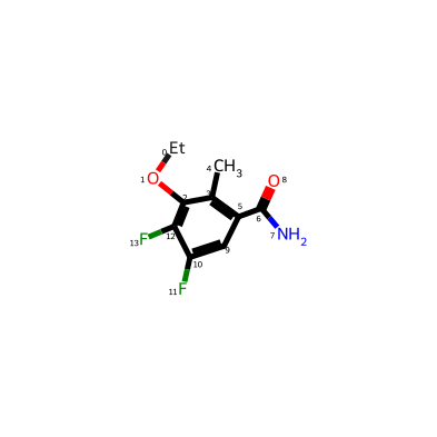 CCOc1c(C)c(C(N)=O)cc(F)c1F